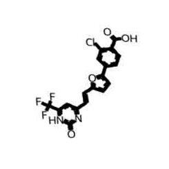 O=C(O)c1ccc(-c2ccc(/C=C/c3cc(C(F)(F)F)[nH]c(=O)n3)o2)cc1Cl